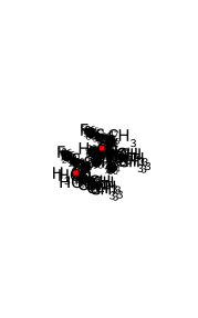 CO[C@@]1(c2ccc(C)c(Cc3ccc(-c4ccc(F)cc4)s3)c2)O[C@H](CO[Si](C)(C)C(C)(C)C)[C@@H](O)[C@H](O)[C@H]1O.CO[C@@]1(c2ccc(C)c(Cc3ccc(-c4ccc(F)cc4)s3)c2)O[C@H](CO[Si](C)(C)C(C)(C)C)[C@@H](OCc2ccccc2)[C@H](OCc2ccccc2)[C@H]1OCc1ccccc1